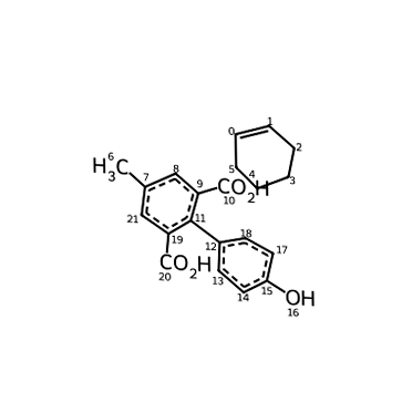 C1=CCCCC1.Cc1cc(C(=O)O)c(-c2ccc(O)cc2)c(C(=O)O)c1